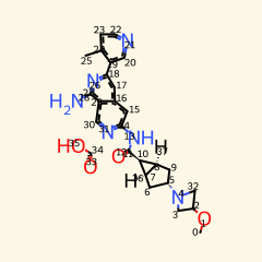 COC1CN([C@@H]2C[C@@H]3[C@H](C2)[C@@H]3C(=O)Nc2cc3cc(-c4cnccc4C)nc(N)c3cn2)C1.O=CO